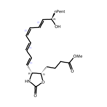 CCCCC[C@@H](O)/C=C/C=C\C=C\C=C\[C@H]1NC(=O)O[C@H]1CCCC(=O)OC